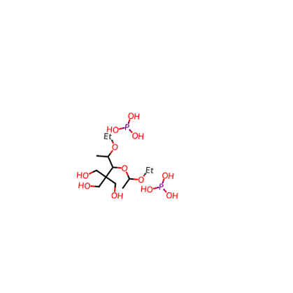 CCOC(C)OC(C(C)OCC)C(CO)(CO)CO.OP(O)O.OP(O)O